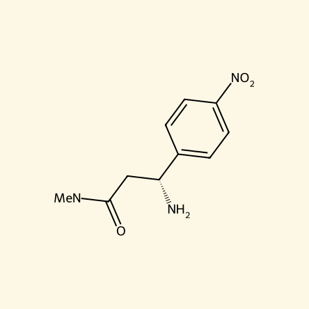 CNC(=O)C[C@@H](N)c1ccc([N+](=O)[O-])cc1